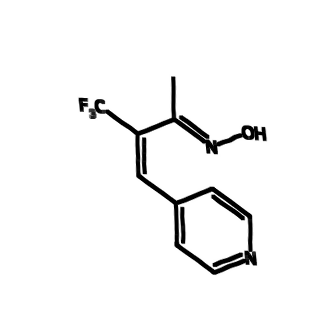 CC(=NO)C(=Cc1ccncc1)C(F)(F)F